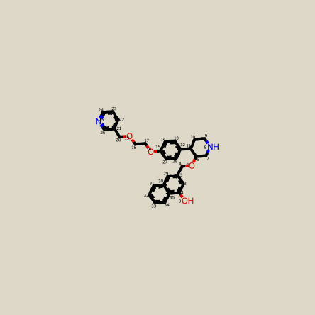 Oc1cc(COC2CNCCC2c2ccc(OCCOCc3cccnc3)cc2)cc2ccccc12